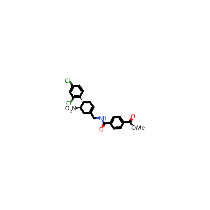 COC(=O)c1ccc(C(=O)NCC2=CC[C@@H](c3ccc(Cl)cc3Cl)[C@H]([N+](=O)[O-])C2)cc1